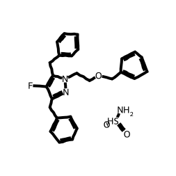 Fc1c(Cc2ccccc2)nn(CCOCc2ccccc2)c1Cc1ccccc1.N[SH](=O)=O